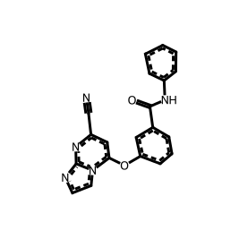 N#Cc1cc(Oc2cccc(C(=O)Nc3ccccc3)c2)n2ccnc2n1